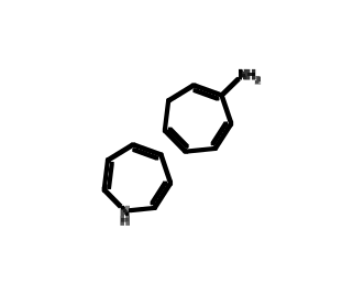 C1=CC=CNC=C1.NC1=CCC=CC=C1